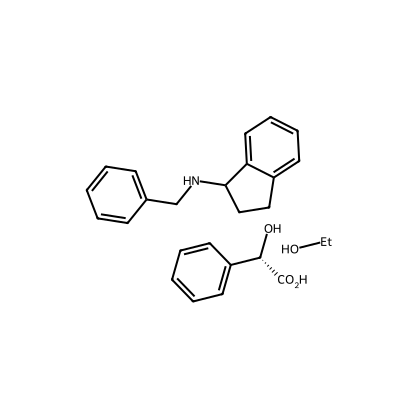 CCO.O=C(O)[C@@H](O)c1ccccc1.c1ccc(CNC2CCc3ccccc32)cc1